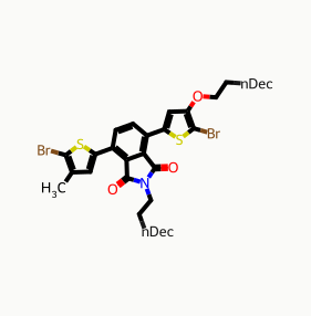 CCCCCCCCCCCCOc1cc(-c2ccc(-c3cc(C)c(Br)s3)c3c2C(=O)N(CCCCCCCCCCCC)C3=O)sc1Br